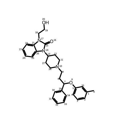 Cc1cccc(OC(CCN2CCC(n3c(=O)n(CCO)c4ccccc43)CC2)c2ccccc2)c1